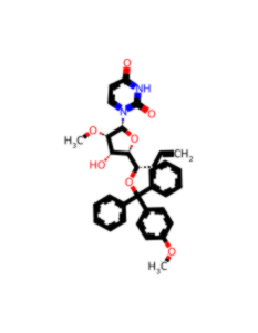 C=CC[C@H](OC(c1ccccc1)(c1ccccc1)c1ccc(OC)cc1)[C@H]1O[C@@H](n2ccc(=O)[nH]c2=O)[C@@H](OC)[C@H]1O